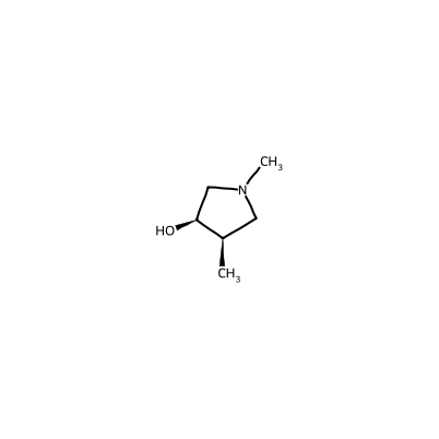 C[C@@H]1CN(C)C[C@@H]1O